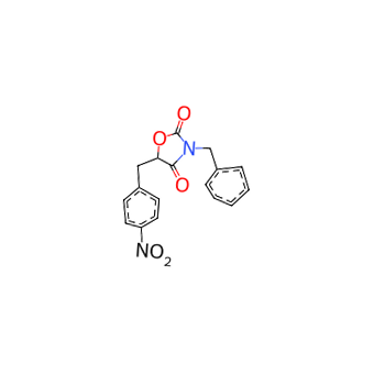 O=C1OC(Cc2ccc([N+](=O)[O-])cc2)C(=O)N1Cc1ccccc1